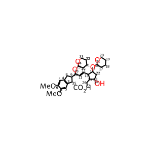 COc1cc2c(cc1OC)CC(C(C=CC1C(OC3CCCCO3)CC(O)C1CC(=O)O)OC1CCCCO1)C2